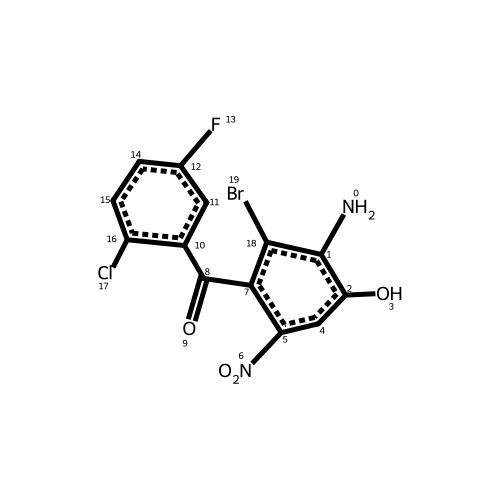 Nc1c(O)cc([N+](=O)[O-])c(C(=O)c2cc(F)ccc2Cl)c1Br